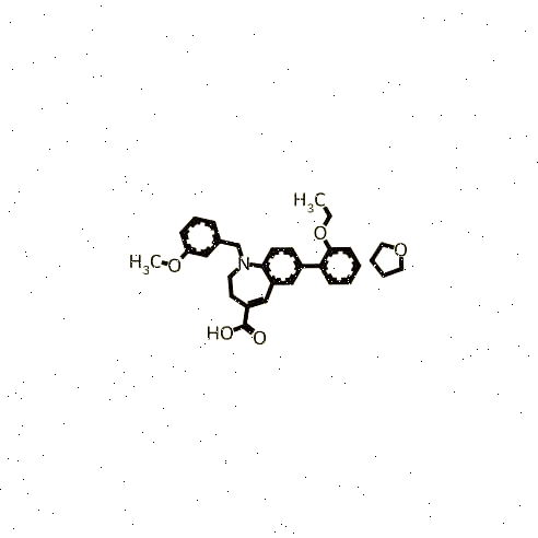 C1CCOC1.CCOc1ccccc1-c1ccc2c(c1)C=C(C(=O)O)CCN2Cc1cccc(OC)c1